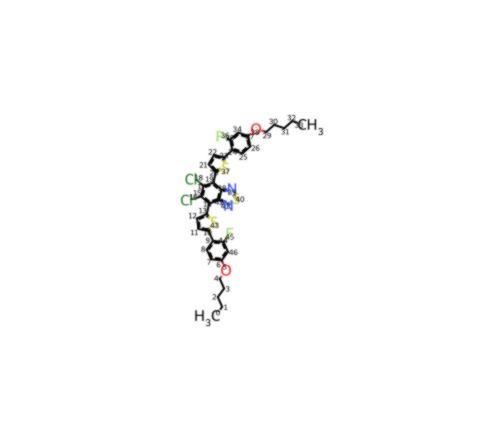 CCCCCOc1ccc(-c2ccc(-c3c(Cl)c(Cl)c(-c4ccc(-c5ccc(OCCCCC)cc5F)s4)c4nsnc34)s2)c(F)c1